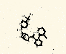 Cc1cccnc1-c1ccccc1C(=O)N1CC2CC(Nc3ccc(C(F)(F)F)cn3)C1C2